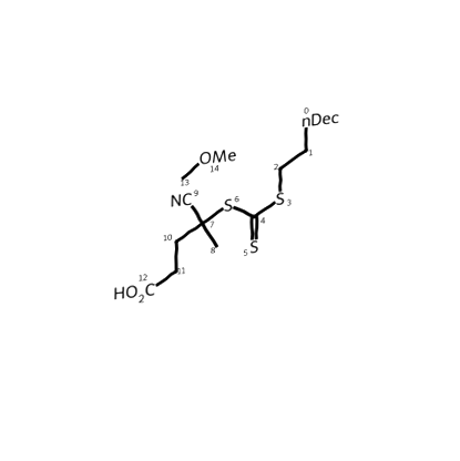 CCCCCCCCCCCCSC(=S)SC(C)(C#N)CCC(=O)O.COC